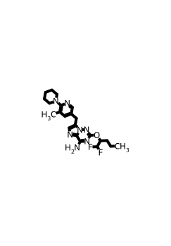 CCCC(Oc1nc(N)c2ncc(Cc3cnc(N4CCCCC4)c(C)c3)n2n1)C(F)F